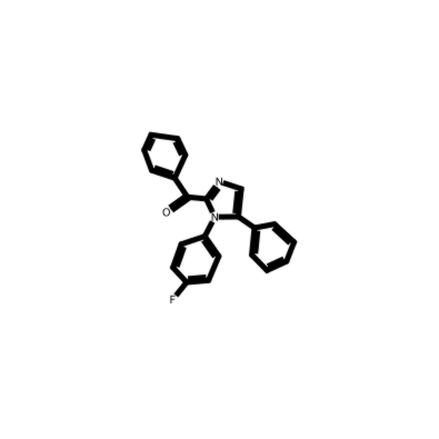 O=C(c1ccccc1)c1ncc(-c2ccccc2)n1-c1ccc(F)cc1